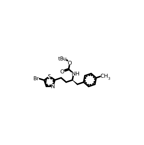 Cc1ccc(C[C@@H](CCc2ncc(Br)s2)NC(=O)OC(C)(C)C)cc1